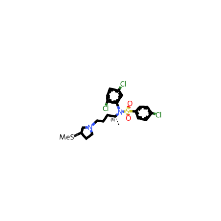 CSC1CCN(CCC[C@@H](C)N(c2cc(Cl)ccc2Cl)S(=O)(=O)c2ccc(Cl)cc2)C1